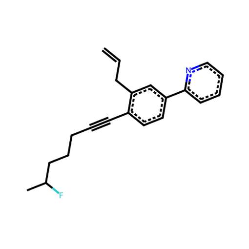 C=CCc1cc(-c2ccccn2)ccc1C#CCCCC(C)F